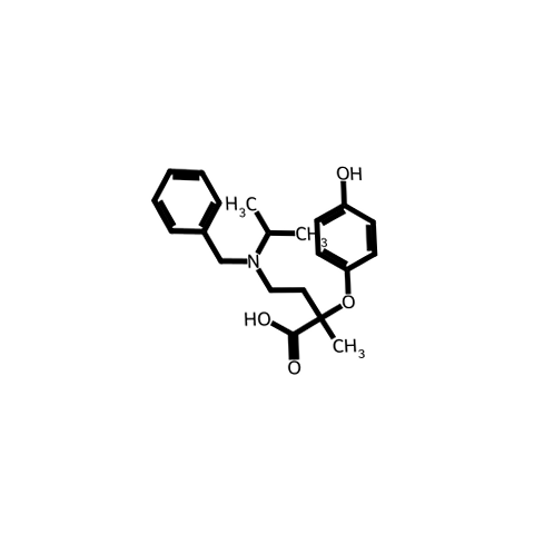 CC(C)N(CCC(C)(Oc1ccc(O)cc1)C(=O)O)Cc1ccccc1